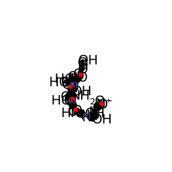 Nc1c(/N=N/c2ccc(S(=O)(=O)Nc3ccc(/N=N/c4ccc(O)c(N=Nc5ccc([N+](=O)[O-])cc5)c4O)cc3)cc2)c(S(=O)(=O)O)cc2cc(SOOO)c(/N=N/c3ccc(S(=O)(=O)CCOSOOO)cc3S(=O)(=O)O)c(O)c12